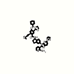 C[Si](C)(C)C#Cc1cc(OCc2ccccc2)c(C2OCCO2)cc1C(=O)N[C@H]1CCc2cc(-n3c(-c4cccnc4N)nc4ccc(-n5cccn5)nc43)ccc21